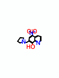 O=[N+]([O-])c1cc(CN2CCCC2)c(O)c2ncccc12